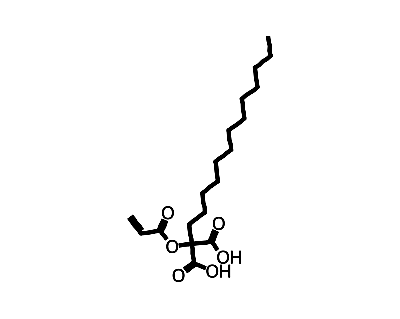 C=CC(=O)OC(CCCCCCCCCCCCC)(C(=O)O)C(=O)O